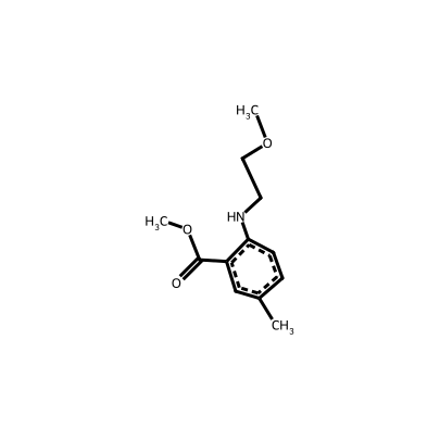 COCCNc1ccc(C)cc1C(=O)OC